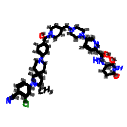 C[C@H]1CC2(CCN(c3ccc(C(=O)N4CCC(CN5CCN(c6ccc(C(=O)N[C@H]7CCC(=O)NC7=O)nc6)CC5)CC4)cc3)CC2)CN1c1ccc(C#N)c(Cl)c1